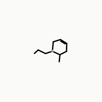 CCCN1CC=[C]CC1C